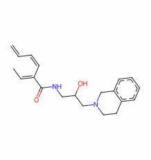 C=C/C=C\C(=C/C)C(=O)NCC(O)CN1CCc2ccccc2C1